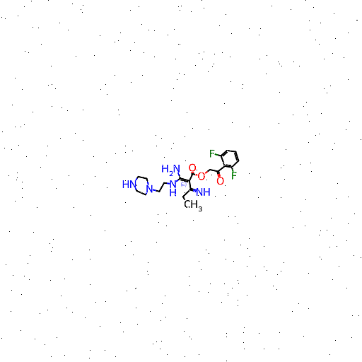 CCC(=N)/C(C(=O)OCC(=O)c1c(F)cccc1F)=C(/N)NCCN1CCNCC1